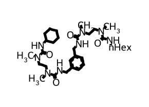 CCCCCCNC(=O)N(C)CCN(C)C(=O)NCc1cccc(CNC(=O)N(C)CCN(C)C(=O)NC2CCCCC2)c1